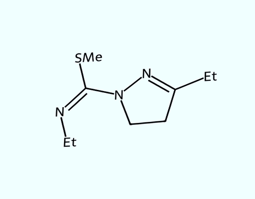 CC/N=C(/SC)N1CCC(CC)=N1